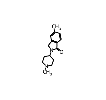 Cc1ccc2c(c1)CN(C1CCN(C)CC1)C2=O